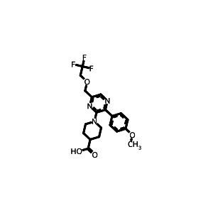 COc1ccc(-c2ncc(COCC(F)(F)F)nc2N2CCC(C(=O)O)CC2)cc1